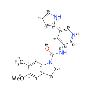 COc1cc2c(cc1C(F)(F)F)N(C(=O)Nc1cncc(-c3ccc[nH]3)c1)CC2